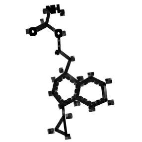 NC(=O)OCCc1ccc(C2CC2)c2ccccc12